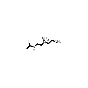 CC(I)NCCN(N)CCN